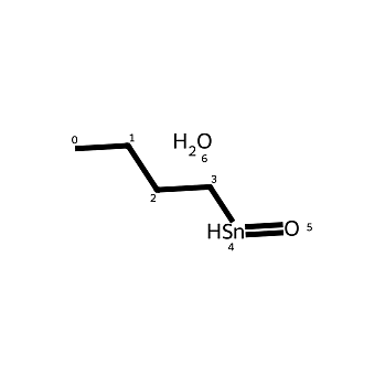 CCC[CH2][SnH]=[O].O